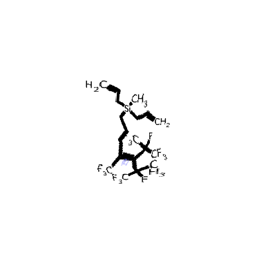 C=CC[Si](C)(CC=C)CCC/C(=C(/C(C)(F)C(F)(F)F)C(F)(C(F)(F)F)C(F)(F)F)C(F)(F)F